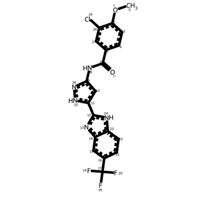 COc1ccc(C(=O)Nc2cc(-c3nc4cc(C(F)(F)F)ccc4[nH]3)[nH]n2)cc1Cl